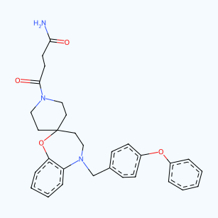 NC(=O)CCC(=O)N1CCC2(CC1)CCN(Cc1ccc(Oc3ccccc3)cc1)c1ccccc1O2